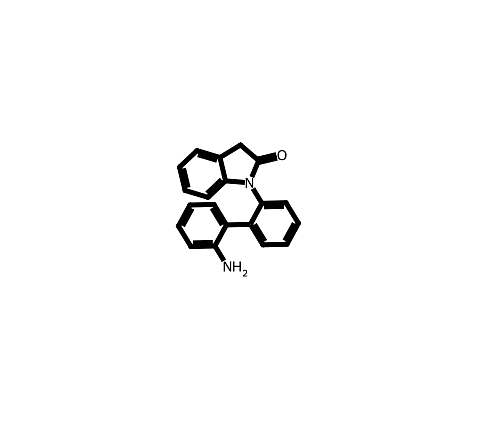 Nc1ccccc1-c1ccccc1N1C(=O)Cc2ccccc21